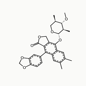 CO[C@@H]1[C@@H](C)[C@H](Oc2c3c(c(-c4ccc5c(c4)OCO5)c4cc(C)c(C)cc24)C(=O)OC3)OC[C@H]1C